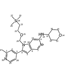 Cc1cc(-c2cc3cnc(NC4CCOCC4)cc3n2COCC[Si](C)(C)C)ccn1